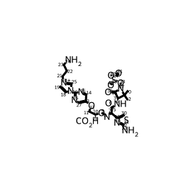 CC1(C)[C@H](NC(=O)/C(=N\O[C@@H](COc2cnc(-n3cc[n+](CCCN)c3)nc2)C(=O)O)c2csc(N)n2)C(=O)N1OS(=O)(=O)[O-]